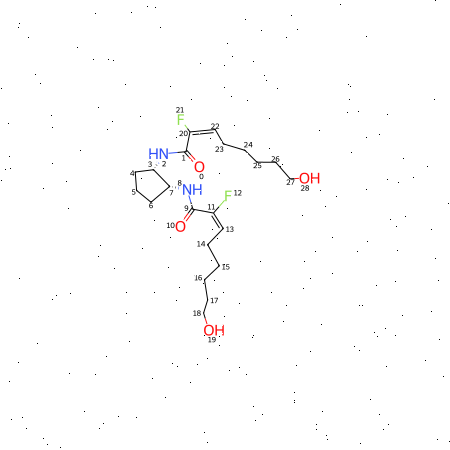 O=C(N[C@H]1CCC[C@H]1NC(=O)/C(F)=C\CCCCCO)/C(F)=C\CCCCCO